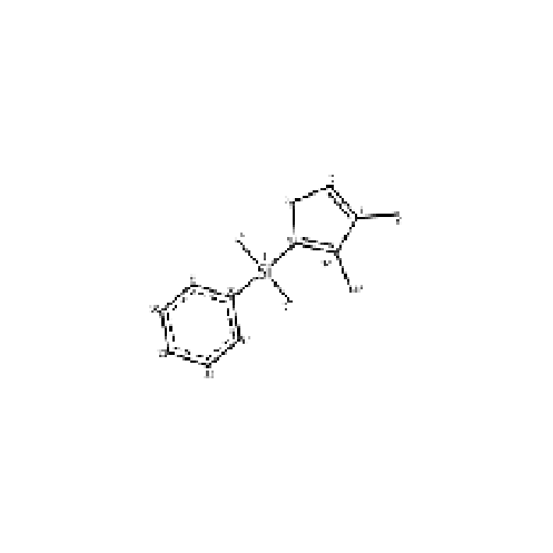 CC1=CCC([Si](C)(C)c2ccccc2)=C1C